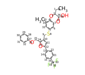 CCC(Oc1ccc(SCc2cc(-c3ccc(C(F)(F)F)cc3)oc2COc2ccccc2)cc1C)C(=O)O